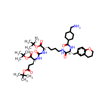 CC(C)(C)OC(=O)CC[C@H](NC(=O)N[C@@H](CCCCNC(=O)[C@@H](Cc1ccc2c(c1)CCCO2)NC(=O)C1CCC(CN)CC1)C(=O)OC(C)(C)C)C(=O)OC(C)(C)C